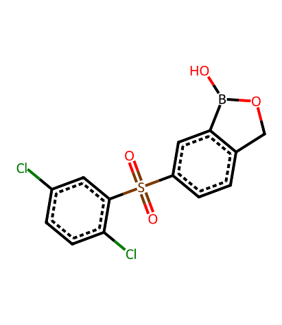 O=S(=O)(c1ccc2c(c1)B(O)OC2)c1cc(Cl)ccc1Cl